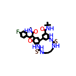 CNC(=O)c1c(-c2ccc(F)cc2)oc2cc3c(cc12)-c1cc(cc(C(=O)NC(C)(C)C)c1)NC(=S)NCCCCNC(=S)N3